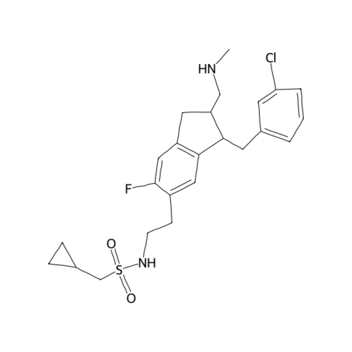 CNCC1Cc2cc(F)c(CCNS(=O)(=O)CC3CC3)cc2C1Cc1cccc(Cl)c1